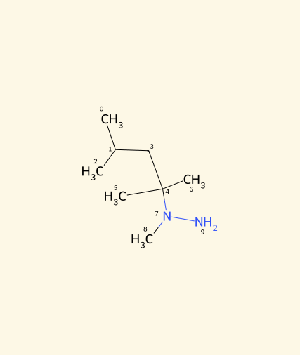 CC(C)CC(C)(C)N(C)N